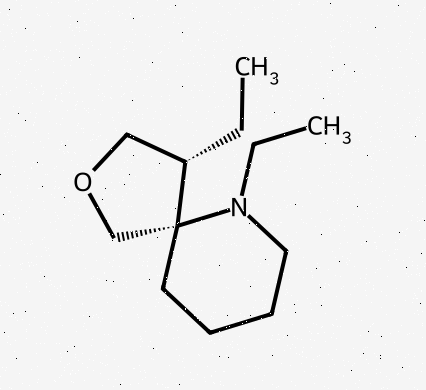 CC[C@H]1COC[C@]12CCCCN2CC